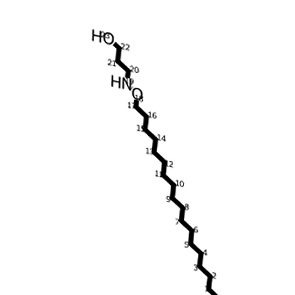 CCCCCCCCCCCCCCCCCCONCCCO